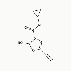 C#Cc1cc(C(=O)NC2CC2)c(C#N)s1